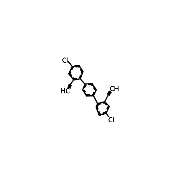 C#Cc1cc(Cl)ccc1-c1ccc(-c2ccc(Cl)cc2C#C)cc1